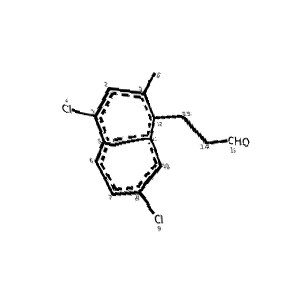 Cc1cc(Cl)c2ccc(Cl)cc2c1CCC=O